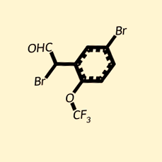 O=CC(Br)c1cc(Br)ccc1OC(F)(F)F